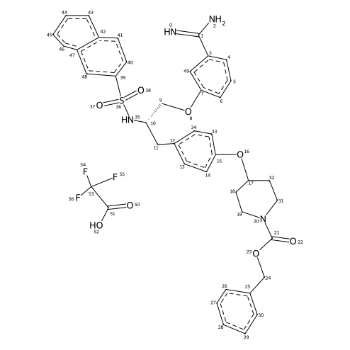 N=C(N)c1cccc(OC[C@H](Cc2ccc(OC3CCN(C(=O)OCc4ccccc4)CC3)cc2)NS(=O)(=O)c2ccc3ccccc3c2)c1.O=C(O)C(F)(F)F